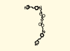 CN1C=CC(/C=C/c2ccc(N(C)CCCOC(=O)CSSCC(=O)OCCCN(C)c3ccc(/C=C/c4cc[n+](C)cc4)cc3)cc2)=CC1